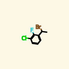 CC(Br)c1cccc(Cl)c1F